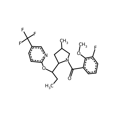 CCC(Oc1ccc(C(F)(F)F)cn1)C1CC(C)CN1C(=O)c1cccc(F)c1OC